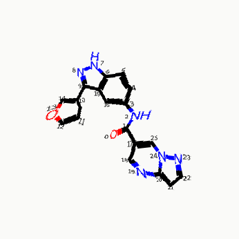 O=C(Nc1ccc2[nH]nc(-c3ccoc3)c2c1)c1cnc2ccnn2c1